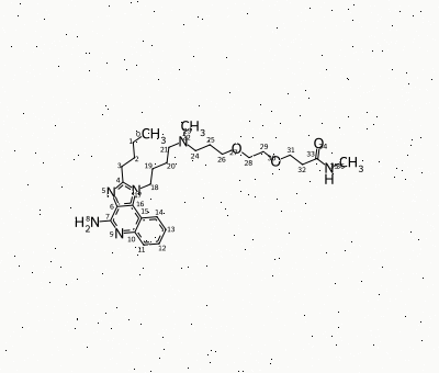 CCCCc1nc2c(N)nc3ccccc3c2n1CCCCN(C)CCCOCCOCCC(=O)NC